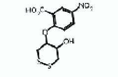 O=C(O)c1cc([N+](=O)[O-])ccc1OC1CSSCC1O